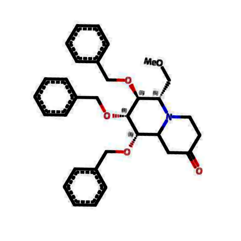 COC[C@H]1[C@H](OCc2ccccc2)[C@@H](OCc2ccccc2)[C@@H](OCc2ccccc2)C2CC(=O)CCN21